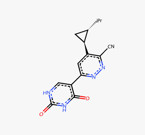 CC(C)[C@H]1C[C@@H]1c1cc(-c2c[nH]c(=O)[nH]c2=O)nnc1C#N